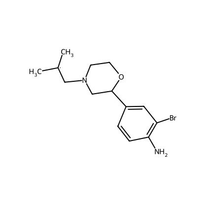 C[C](C)CN1CCOC(c2ccc(N)c(Br)c2)C1